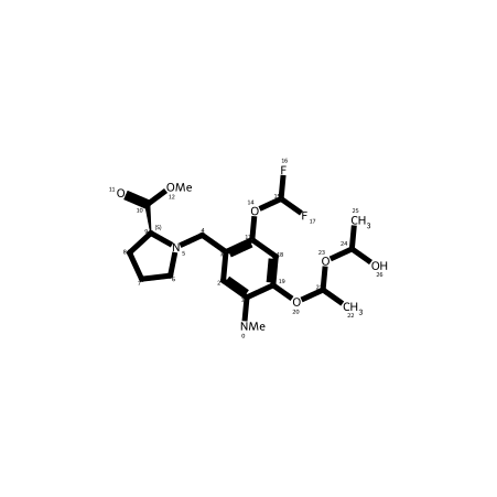 CNc1cc(CN2CCC[C@H]2C(=O)OC)c(OC(F)F)cc1OC(C)OC(C)O